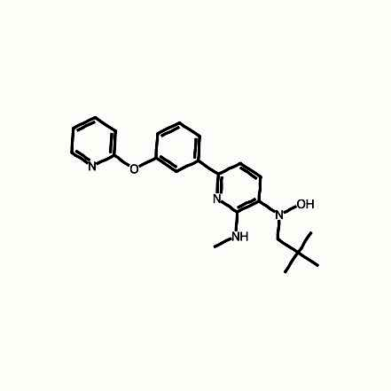 CNc1nc(-c2cccc(Oc3ccccn3)c2)ccc1N(O)CC(C)(C)C